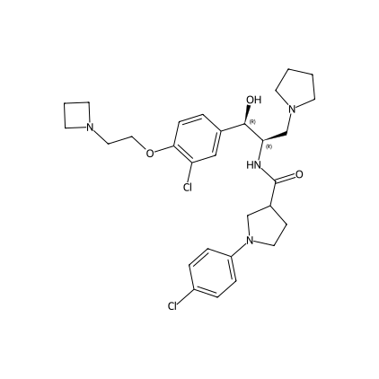 O=C(N[C@H](CN1CCCC1)[C@H](O)c1ccc(OCCN2CCC2)c(Cl)c1)C1CCN(c2ccc(Cl)cc2)C1